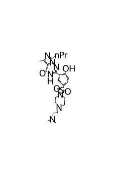 CCCc1nc(C)c2c(=O)[nH]c(-c3cc(S(=O)(=O)N4CCN(CCN(C)C)CC4)ccc3O)nn12